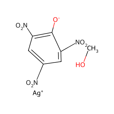 CO.O=[N+]([O-])c1cc([N+](=O)[O-])c([O-])c([N+](=O)[O-])c1.[Ag+]